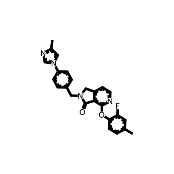 Cc1ccc(Oc2nccc3c2C(=O)N(Cc2ccc(-n4cnc(C)c4)cc2)C3)c(F)c1